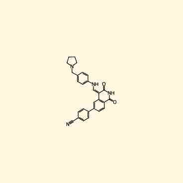 N#Cc1ccc(-c2ccc3c(c2)C(=CNc2ccc(CN4CCCC4)cc2)C(=O)NC3=O)cc1